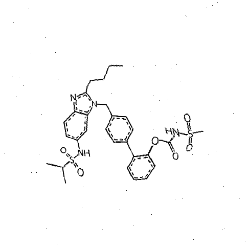 CCCCc1nc2ccc(NS(=O)(=O)C(C)C)cc2n1Cc1ccc(-c2ccccc2OC(=O)NS(C)(=O)=O)cc1